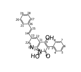 O=c1c(-c2ccccc2)c(O)c2cc(C=Cc3ccccc3)cnc2n1O